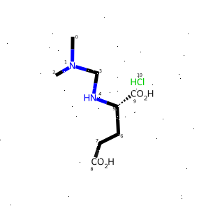 CN(C)CN[C@@H](CCC(=O)O)C(=O)O.Cl